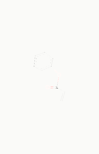 C=CC(=O)Oc1[c]cccc1